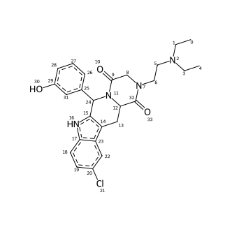 CCN(CC)CCN1CC(=O)N2C(Cc3c([nH]c4ccc(Cl)cc34)C2c2cccc(O)c2)C1=O